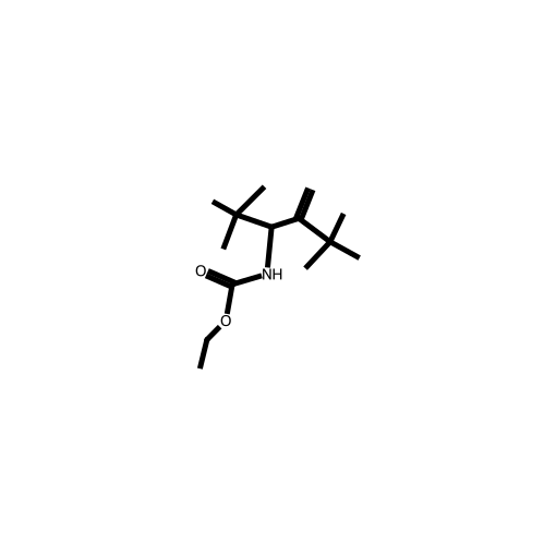 C=C(C(NC(=O)OCC)C(C)(C)C)C(C)(C)C